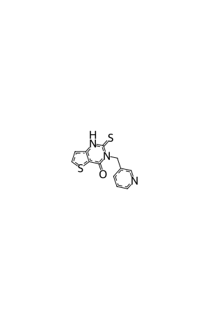 O=c1c2sccc2[nH]c(=S)n1Cc1cccnc1